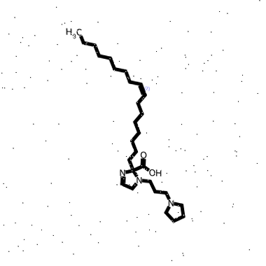 CCCCCCCC/C=C\CCCCCCCC1(C(=O)O)N=CCN1CCCN1CCCC1